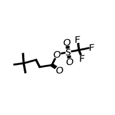 CC(C)(C)CCC(=O)OS(=O)(=O)C(F)(F)F